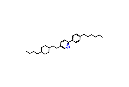 CCCCCCc1ccc(-c2ccc(CCC3CCC(CCCC)CC3)cn2)cc1